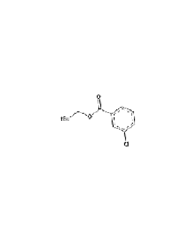 CC(C)(C)COC(=O)c1cccc(Cl)c1